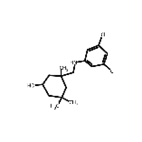 CC1(C)CC(O)CC(C)(CNc2cc(Cl)cc(Cl)c2)C1